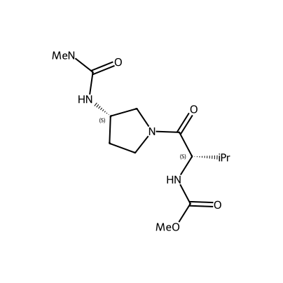 CNC(=O)N[C@H]1CCN(C(=O)[C@@H](NC(=O)OC)C(C)C)C1